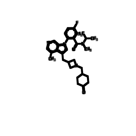 Cc1cncc2c1c(CC1CN(CC3CCC(=O)CC3)C1)cn2-c1ccc(F)cc1C(=O)N(C)C(C)C